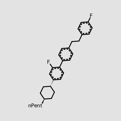 CCCCC[C@H]1CC[C@H](c2ccc(-c3ccc(CCc4ccc(F)cc4)cc3)c(F)c2)CC1